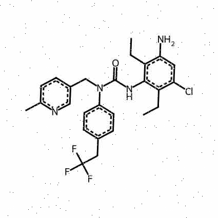 CCc1c(N)cc(Cl)c(CC)c1NC(=O)N(Cc1ccc(C)nc1)c1ccc(CC(F)(F)F)cc1